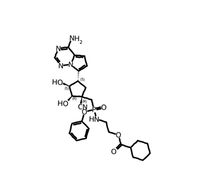 N#C[C@]1(CP(=O)(NCCOC(=O)C2CCCCC2)Oc2ccccc2)C[C@@H](c2ccc3c(N)ncnn23)[C@H](O)[C@@H]1O